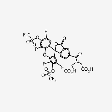 O=C(O)CN(CC(=O)O)C(=O)c1ccc2c(c1)C(=O)OC21c2cc(F)c(OS(=O)(=O)C(F)(F)F)c(F)c2Oc2c1cc(F)c(OS(=O)(=O)C(F)(F)F)c2F